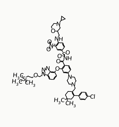 CC1(C)CCC(CN2CCN(c3ccc(C(=O)NS(=O)(=O)c4ccc(NCC5CN(C6CC6)CCO5)c([N+](=O)[O-])c4)c(Oc4cccc5c4nnn5COCC[Si](C)(C)C)c3)CC2)=C(c2ccc(Cl)cc2)C1